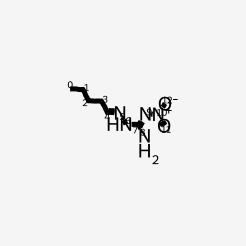 CCCCC=NNC(N)=N[N+](=O)[O-]